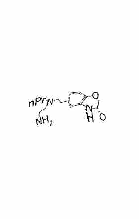 CCCN(CCN)CCc1ccc2c(c1)NC(=O)CO2